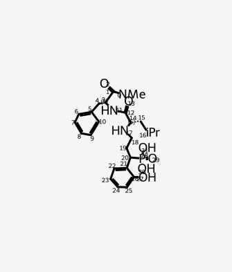 CNC(=O)[C@H](Cc1ccccc1)NC(=O)[C@H](CC(C)C)NCCC(c1ccccc1O)P(=O)(O)O